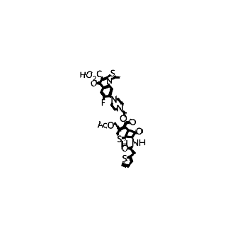 CC(=O)OCC1=C(C(=O)OCN2CCN(c3cc4c(cc3F)c(=O)c(C(=O)O)c3n4C(C)S3)CC2)C2C(=O)[C@@H](NC(=O)Cc3cccs3)[C@H]2SC1